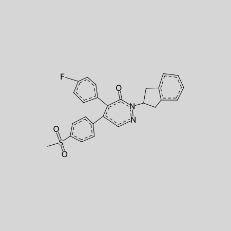 CS(=O)(=O)c1ccc(-c2cnn(C3Cc4ccccc4C3)c(=O)c2-c2ccc(F)cc2)cc1